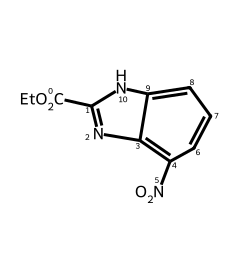 CCOC(=O)c1nc2c([N+](=O)[O-])cccc2[nH]1